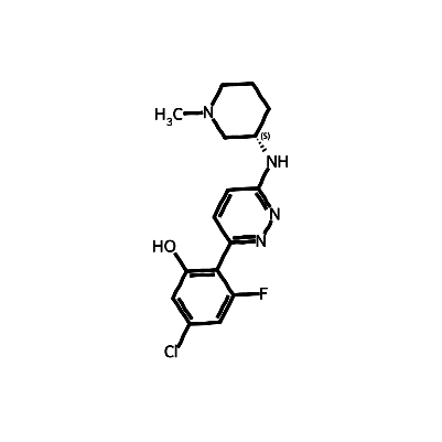 CN1CCC[C@H](Nc2ccc(-c3c(O)cc(Cl)cc3F)nn2)C1